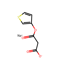 O=C([O-])CC(=O)Oc1ccsc1.[Na+]